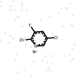 Fc1cc(Cl)cn[c]1[Zn+].[Br-]